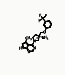 Cc1c[nH]c2ncnc(N3CC[C@@](N)(COc4cccc(C(F)(F)F)c4)C3)c12